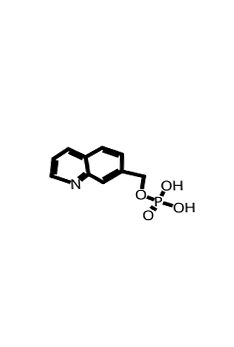 O=P(O)(O)OCc1ccc2cccnc2c1